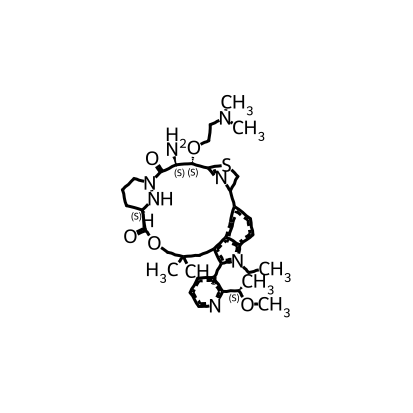 CCn1c(-c2cccnc2[C@H](C)OC)c2c3cc(ccc31)C1CSC(=N1)[C@@H](OCCN(C)C)[C@H](N)C(=O)N1CCC[C@H](N1)C(=O)OCC(C)(C)C2